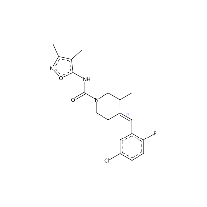 Cc1noc(NC(=O)N2CC/C(=C\c3cc(Cl)ccc3F)C(C)C2)c1C